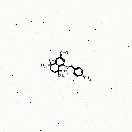 Cc1ccc(COc2cc(C=O)cc3c2C(C)(C)CCC3(C)C)cc1